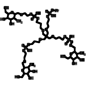 CC(C)OP(=O)(O)OCCCOCC(COCCCOP(=O)(O)OCCOCC1OC(CO)C(O)C(O)C1C)(COCCCOP(=O)(O)OCCOCC1OC(CO)C(O)C(O)C1C)COCCCOP(=O)(O)OOCC1OC(CO)C(O)C(O)C1C